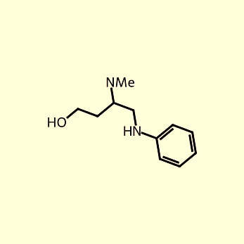 CNC(CCO)CNc1ccccc1